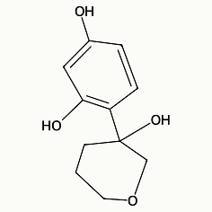 Oc1ccc(C2(O)CCCOC2)c(O)c1